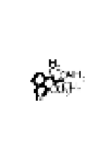 C=C(/C(C(=O)O)=C(/C)ON)C1CC=Cc2cnccc21